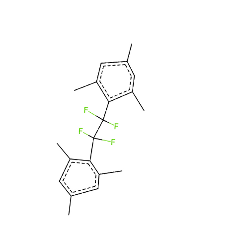 Cc1cc(C)c(C(F)(F)C(F)(F)c2c(C)cc(C)cc2C)c(C)c1